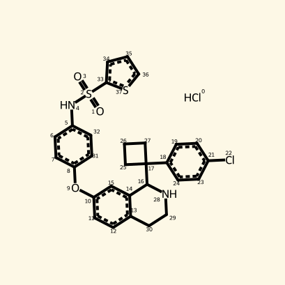 Cl.O=S(=O)(Nc1ccc(Oc2ccc3c(c2)C(C2(c4ccc(Cl)cc4)CCC2)NCC3)cc1)c1cccs1